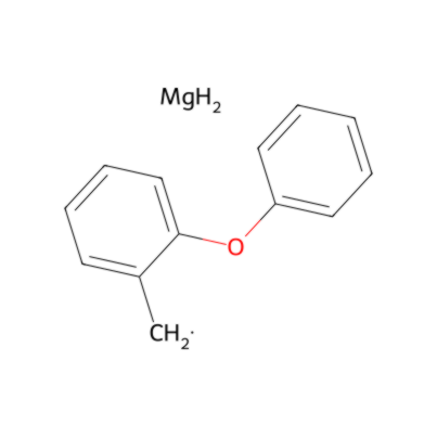 [CH2]c1ccccc1Oc1ccccc1.[MgH2]